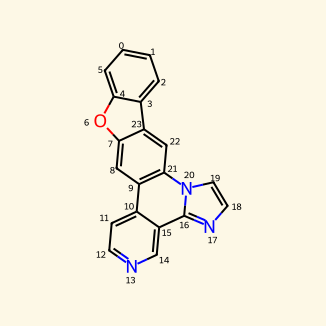 c1ccc2c(c1)oc1cc3c4ccncc4c4nccn4c3cc12